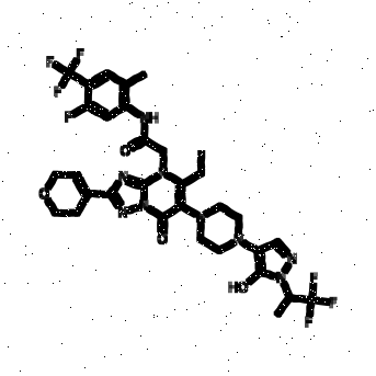 CCc1c(N2CCN(c3cnn(C(C)C(F)(F)F)c3O)CC2)c(=O)n2nc(C3=CCOCC3)nc2n1CC(=O)Nc1cc(F)c(C(F)(F)F)cc1C